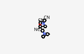 N#Cc1ccc2c(c1)c1c(C#N)cccc1n2C1=C(c2cccc(C#N)c2-c2ccc(-n3c4ccccc4c4ccccc43)cc2)C=CCC1